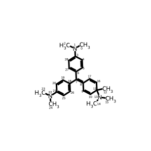 CN(C)c1ccc(C(=C2C=CC(C)(N(C)C)C=C2)c2ccc(N(C)C)cc2)cc1